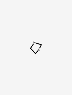 C1CSC[N]1